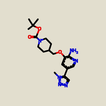 Cn1nncc1-c1cnc(N)c(OCC2CCN(C(=O)OC(C)(C)C)CC2)c1